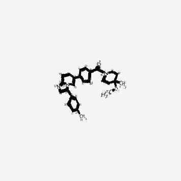 COC1(C)CCN(C(=O)c2ccc(-c3ccc4ncc(-c5ccc(C)cc5)n4c3)cc2)CC1